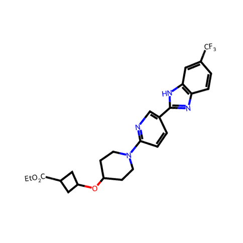 CCOC(=O)C1CC(OC2CCN(c3ccc(-c4nc5ccc(C(F)(F)F)cc5[nH]4)cn3)CC2)C1